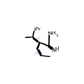 C/C=C\C(C(=N)N)=C(/C)C(C)C